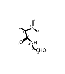 CC(C(=O)NC[C]=O)N(C)C